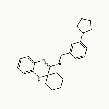 c1cc(CNC2=Nc3ccccc3NC23CCCCC3)cc(N2CCCC2)c1